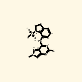 Cn1cc2nc(Cl)nc(Nc3cccc4c3N(S(C)(=O)=O)CC4)c2n1